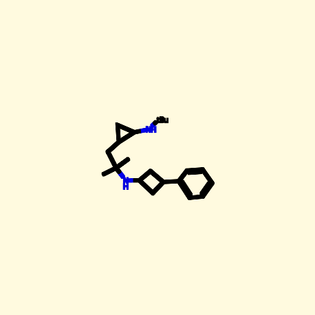 CC(C)(C)NC1CC1CC(C)(C)NC1CC(c2ccccc2)C1